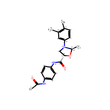 CCC(=O)Nc1ccc(NC(=O)[C@@H]2CN(c3ccc(C#N)c(C(F)(F)F)c3)[C@@H](C(F)(F)F)O2)cc1